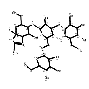 CC1=NC2C(O)[C@H](O[C@@H]3OC(CO[C@H]4OC(CO)[C@@H](O)C(O)C4O)[C@@H](O)C(O[C@H]4OC(CO)[C@@H](O)C(O)C4O)C3O)C(CO)O[C@H]2O1